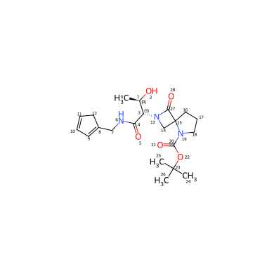 C[C@@H](O)[C@@H](C(=O)NCC1=CC=CC1)N1CC2(CCCN2C(=O)OC(C)(C)C)C1=O